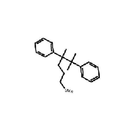 CSCCCC(C)(c1ccccc1)C(C)(C)c1ccccc1